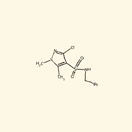 Cc1c(S(=O)(=O)NCC(C)C)c(Cl)nn1C